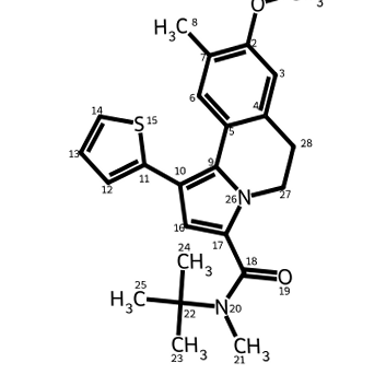 COc1cc2c(cc1C)-c1c(-c3cccs3)cc(C(=O)N(C)C(C)(C)C)n1CC2